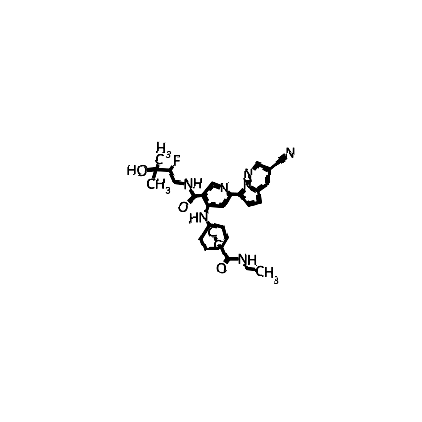 CCNC(=O)C12CCC(Nc3cc(-c4ccc5cc(C#N)cnn45)ncc3C(=O)NCC(F)C(C)(C)O)(CC1)CC2